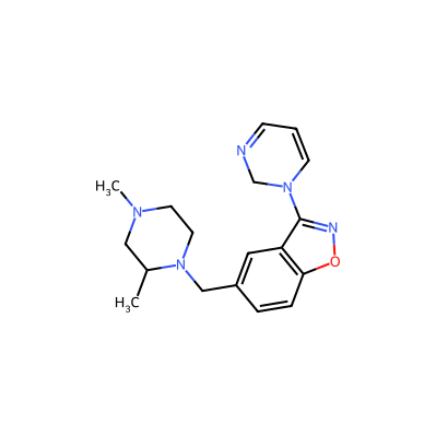 CC1CN(C)CCN1Cc1ccc2onc(N3C=CC=NC3)c2c1